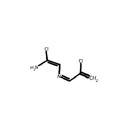 C=C(Cl)/C=N\C=C(/N)Cl